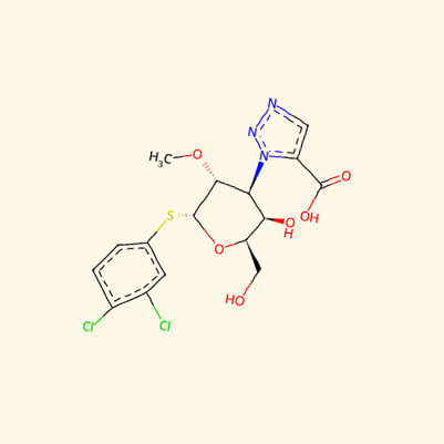 CO[C@@H]1[C@@H](n2nncc2C(=O)O)[C@@H](O)[C@@H](CO)O[C@@H]1Sc1ccc(Cl)c(Cl)c1